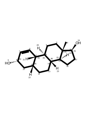 C[C@]12CC[C@@H]3[C@H]4C=C[C@@H](O)C[C@H]4CC[C@H]3[C@@H]1CC[C@@H]2O